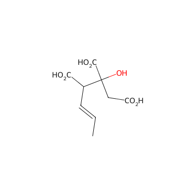 CC=CC(C(=O)O)C(O)(CC(=O)O)C(=O)O